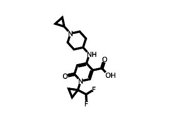 O=C(O)c1cn(C2(C(F)F)CC2)c(=O)cc1NC1CCN(C2CC2)CC1